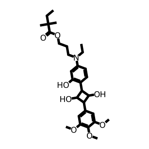 CCN(CCCOC(=O)C(C)(C)CC)c1ccc(C2C(O)C(c3cc(OC)c(OC)c(OC)c3)C2O)c(O)c1